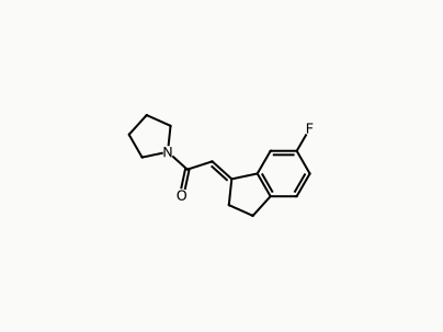 O=C(/C=C1\CCc2ccc(F)cc21)N1CCCC1